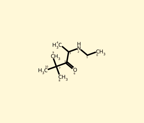 CCNC(C)C(=O)C(C)(C)C